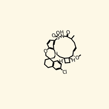 CO[C@H]1/C=C/CC(C)C(=O)NS(=O)(=O)c2ccc3c(c2)N(C[C@@H]2CC[C@H]21)C[C@@]1(CCCc2cc(Cl)ccc21)CO3